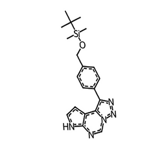 CC(C)(C)[Si](C)(C)OCc1ccc(-c2nnn3cnc4[nH]ccc4c23)cc1